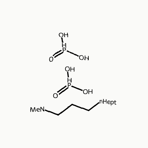 CCCCCCCCCCNC.O=[PH](O)O.O=[PH](O)O